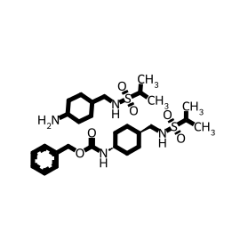 CC(C)S(=O)(=O)NCC1CCC(N)CC1.CC(C)S(=O)(=O)NC[C@H]1CC[C@H](NC(=O)OCc2ccccc2)CC1